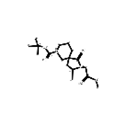 COC(=O)CN1C(=O)C2(CCCN(C(=O)OC(C)(C)C)C2)CC1C